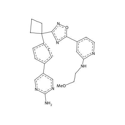 COCCNc1cc(-c2nc(C3(c4ccc(-c5cnc(N)nc5)cc4)CCC3)no2)ccn1